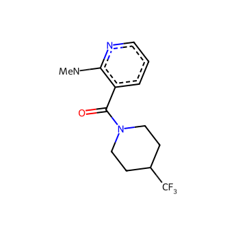 CNc1ncccc1C(=O)N1CCC(C(F)(F)F)CC1